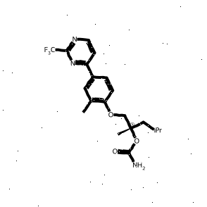 Cc1cc(-c2ccnc(C(F)(F)F)n2)ccc1OC[C@](C)(CC(C)C)OC(N)=O